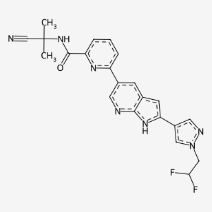 CC(C)(C#N)NC(=O)c1cccc(-c2cnc3[nH]c(-c4cnn(CC(F)F)c4)cc3c2)n1